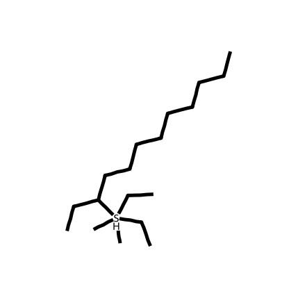 CCCCCCCCCC(CC)[SH](C)(C)(CC)CC